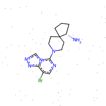 N[C@H]1CCCC12CCN(c1ncc(Br)c3nncn13)CC2